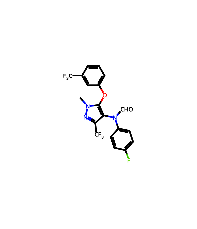 Cn1nc(C(F)(F)F)c(N(C=O)c2ccc(F)cc2)c1Oc1cccc(C(F)(F)F)c1